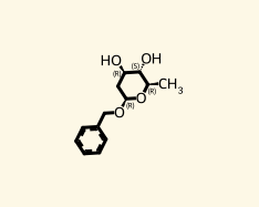 C[C@H]1O[C@@H](OCc2ccccc2)C[C@@H](O)[C@@H]1O